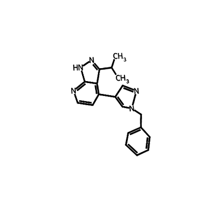 CC(C)c1n[nH]c2nccc(-c3cnn(Cc4ccccc4)c3)c12